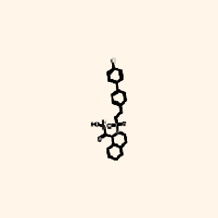 O=C(NO)C1C2CCCCC2CCN1S(=O)(=O)CCc1ccc(-c2ccc(Cl)cc2)cc1